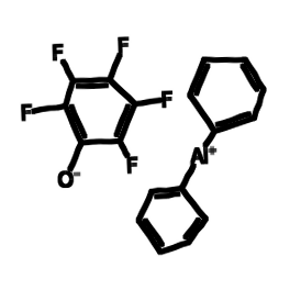 [O-]c1c(F)c(F)c(F)c(F)c1F.c1cc[c]([Al+][c]2ccccc2)cc1